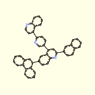 c1ccc2cc(-c3cc(-c4ccc(-c5ccnc6ccccc56)nc4)c4cc(-c5cc6ccccc6c6ccccc56)ccc4n3)ccc2c1